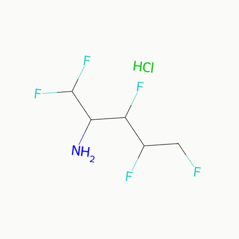 Cl.NC(C(F)F)C(F)C(F)CF